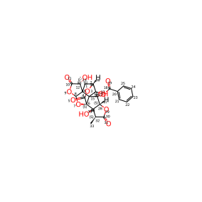 C[C@@H]1[C@H]2OC(=O)[C@]34OC5OC(=O)[C@H](O)C51C3(C2OC(=O)c1ccccc1)[C@@H](O)[C@@H]1OC(=O)[C@@H](C)[C@@]14O